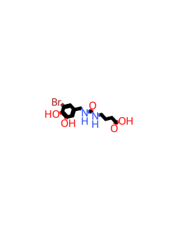 O=C(O)CCCNC(=O)NCc1cc(O)c(O)c(Br)c1